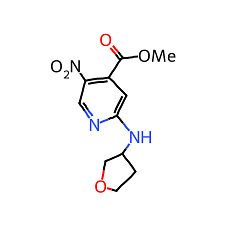 COC(=O)c1cc(NC2CCOC2)ncc1[N+](=O)[O-]